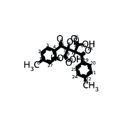 Cc1ccc(C(=O)C(O)(C(=O)O)[C@@](O)(C(=O)O)C(=O)c2ccc(C)cc2)cc1